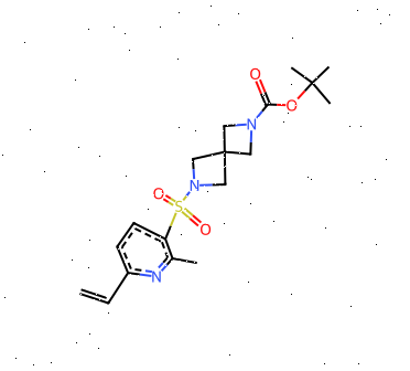 C=Cc1ccc(S(=O)(=O)N2CC3(CN(C(=O)OC(C)(C)C)C3)C2)c(C)n1